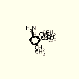 C=C.C=C.C=C.C=C.Cl.NCc1ccccc1